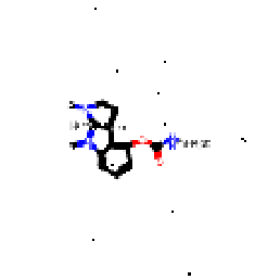 CCCCCCCNC(=O)Oc1cccc2c1[C@]1(C)CCN(C)[C@@H]1N2C